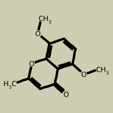 COc1ccc(OC)c2c(=O)cc(C)oc12